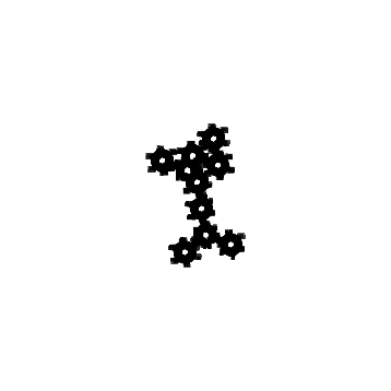 c1ccc(-c2cc(-c3ccc(-c4ccc5c(c4)nc(-c4ccccc4)c4cccc(-c6ccccc6-c6ccccc6)c45)cc3)nc(-c3ccccc3)n2)cc1